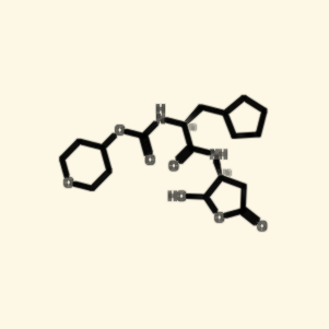 O=C1C[C@H](NC(=O)[C@H](CC2CCCC2)NC(=O)OC2CCOCC2)C(O)O1